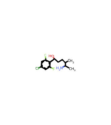 CC(N)C(C)CCC(O)c1c(F)cc(Cl)cc1F